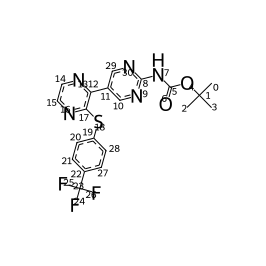 CC(C)(C)OC(=O)Nc1ncc(-c2nccnc2Sc2ccc(C(F)(F)F)cc2)cn1